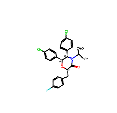 CCCC(C=O)N1C(=O)[C@H](Cc2ccc(F)cc2)O[C@@H](c2ccc(Cl)cc2)[C@H]1c1ccc(Cl)cc1